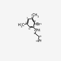 Br.Cc1cc(C)cc(PCCC(C)C)c1